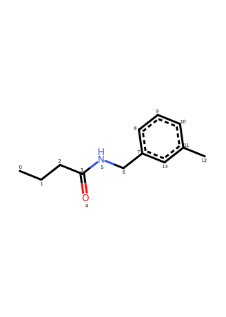 CCCC(=O)NCc1cccc(C)c1